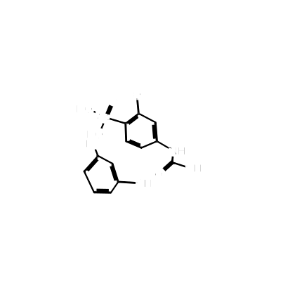 CC(=O)Nc1ccc([As](=O)(O)O)c(O)c1.Cc1cccc(O)c1